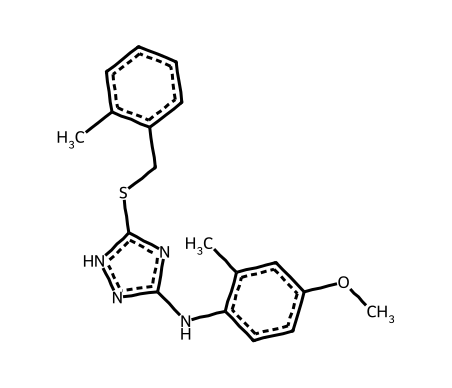 COc1ccc(Nc2n[nH]c(SCc3ccccc3C)n2)c(C)c1